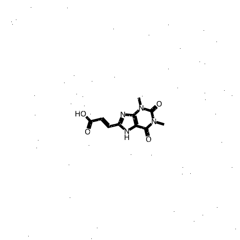 Cn1c(=O)c2[nH]c(C=CC(=O)O)nc2n(C)c1=O